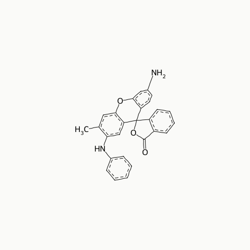 Cc1cc2c(cc1Nc1ccccc1)C1(OC(=O)c3ccccc31)c1ccc(N)cc1O2